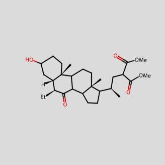 CC[C@@H]1C(=O)C2C3CCC([C@H](C)CC(C(=O)OC)C(=O)OC)[C@@]3(C)CCC2[C@@]2(C)CCC(O)C[C@@H]12